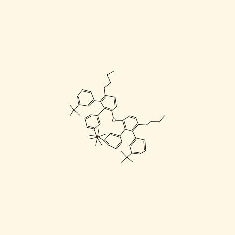 CCCCc1ccc(Oc2ccc(CCCC)c(-c3cccc(C(C)(C)C)c3)c2-c2cccc(C(C)(C)C)c2)c(-c2cccc(C(C)(C)C)c2)c1-c1cccc(C(C)(C)C)c1